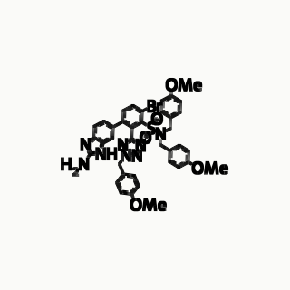 COc1ccc(CN(Cc2ccc(OC)cc2)S(=O)(=O)c2c(Br)ccc(-c3ccc4nc(N)[nH]c4c3)c2-c2nnn(Cc3ccc(OC)cc3)n2)cc1